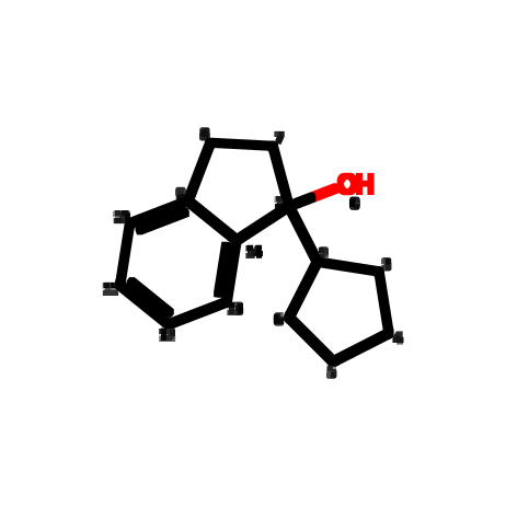 OC1(C2CCCC2)CCc2ccccc21